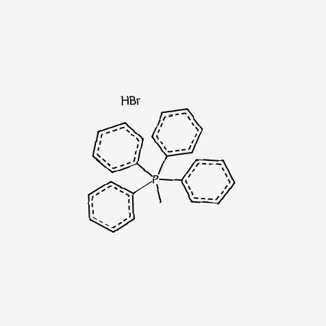 Br.CP(c1ccccc1)(c1ccccc1)(c1ccccc1)c1ccccc1